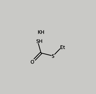 CCSC(=O)S.[KH]